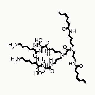 CC/C=C\CCC(=O)NCCCCN(CCCNC(=O)CC/C=C\CC)C(=O)CN(CCCNC(=O)[C@H](CO)NC(=O)[C@@H](N)CCCCN)CCCNC(=O)[C@H](CO)NC(=O)[C@@H](N)CCCCN